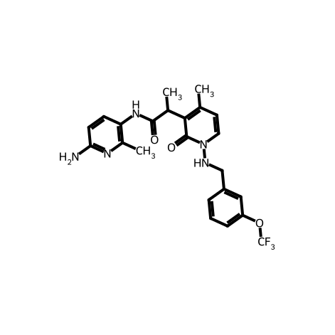 Cc1ccn(NCc2cccc(OC(F)(F)F)c2)c(=O)c1C(C)C(=O)Nc1ccc(N)nc1C